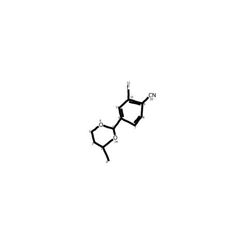 CC1CCOC(c2ccc(C#N)c(F)c2)O1